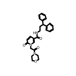 O=C(NCCC(c1ccccc1)c1ccccc1)c1ccc(=O)n(CC(=O)N2CCOCC2)c1